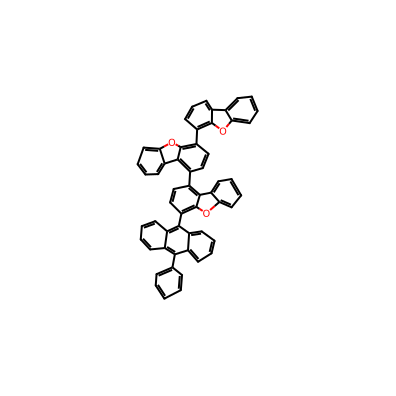 c1ccc(-c2c3ccccc3c(-c3ccc(-c4ccc(-c5cccc6c5oc5ccccc56)c5oc6ccccc6c45)c4c3oc3ccccc34)c3ccccc23)cc1